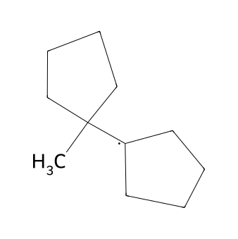 CC1([C]2CCCC2)CCCC1